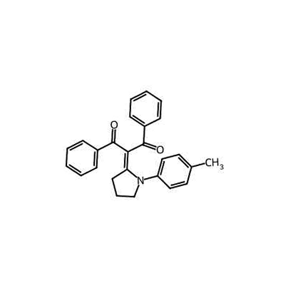 Cc1ccc(N2CCCC2=C(C(=O)c2ccccc2)C(=O)c2ccccc2)cc1